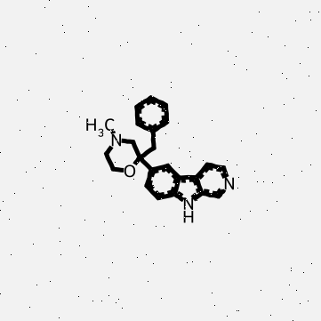 CN1CCOC(Cc2ccccc2)(c2ccc3[nH]c4cnccc4c3c2)C1